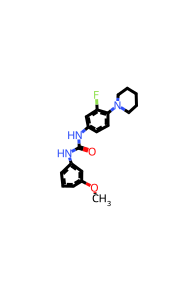 COc1cccc(NC(=O)Nc2ccc(N3CCCCC3)c(F)c2)c1